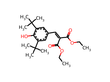 CCOC(=O)C(=Cc1cc(C(C)(C)C)c(O)c(C(C)(C)C)c1)C(=O)OCC